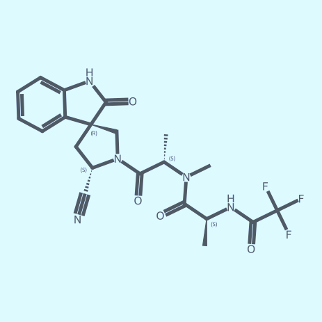 C[C@H](NC(=O)C(F)(F)F)C(=O)N(C)[C@@H](C)C(=O)N1C[C@]2(C[C@H]1C#N)C(=O)Nc1ccccc12